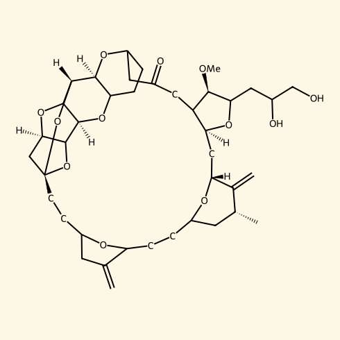 C=C1CC2CC[C@@]34C[C@H]5OC6[C@@H](OC7CCC(CC(=O)CC8[C@@H](OC)C(CC(O)CO)O[C@H]8C[C@H]8OC(CCC1O2)C[C@@H](C)C8=C)O[C@@H]7[C@@H]6O3)C5O4